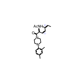 C=C(/C=C\C(=C/C)NC(C)=O)C(=O)N1CCN(c2ccc(C)cc2C)CC1